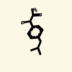 CC(C)Cc1ccc(C(Cl)C(N)=O)cc1